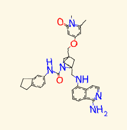 Cc1cc(OCC23CN(C(=O)Nc4ccc5c(c4)CCC5)C(CNc4cccc5c(N)nccc45)(C2)C3)cc(=O)n1C